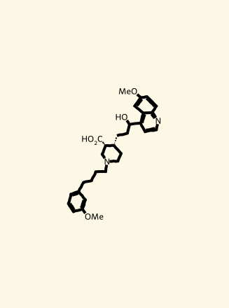 COc1cccc(CCCCN2CC[C@@H](CCC(O)c3ccnc4ccc(OC)cc34)[C@@H](C(=O)O)C2)c1